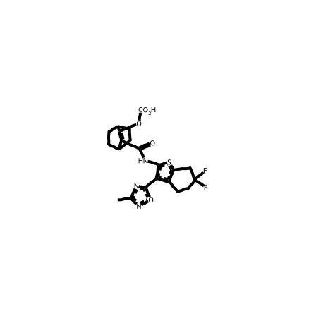 Cc1noc(-c2c(NC(=O)C3=C(OC(=O)O)C4CCC3CC4)sc3c2CCC(F)(F)C3)n1